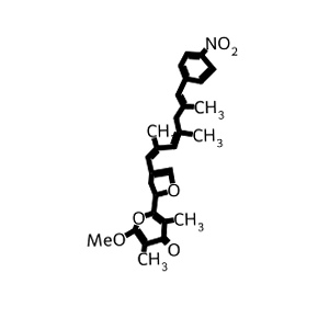 COc1oc(C2CC(/C=C(C)\C=C(\C)C/C(C)=C/c3ccc([N+](=O)[O-])cc3)=CO2)c(C)c(=O)c1C